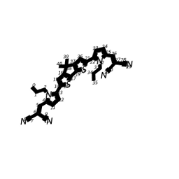 CCCn1c(C=C(C#N)C#N)ccc1-c1cc2c(s1)-c1sc(-c3ccc(C=C(C#N)C#N)n3CCC)cc1C2(C)C